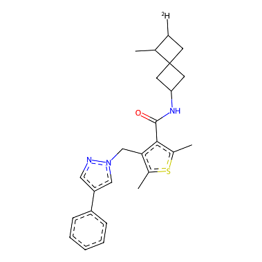 [2H]C1CC2(CC(NC(=O)c3c(C)sc(C)c3Cn3cc(-c4ccccc4)cn3)C2)C1C